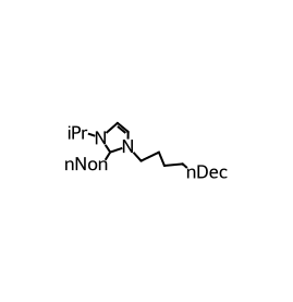 CCCCCCCCCCCCCCN1C=CN(C(C)C)C1CCCCCCCCC